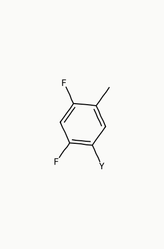 Cc1c[c]([Y])c(F)cc1F